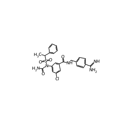 CC(c1ccccc1)S(=O)(=O)N(C(N)=O)c1cc(Cl)cc(C(=O)NCc2ccc(C(=N)N)cc2)c1